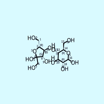 OC[C@H]1OC(O)(CO)[C@@H](O)[C@@H]1O.OC[C@H]1OC(O)[C@H](O)[C@@H](O)[C@@H]1O